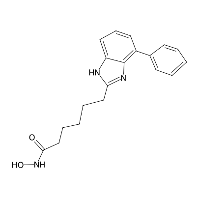 O=C(CCCCCc1nc2c(-c3ccccc3)cccc2[nH]1)NO